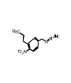 [CH2]OCCc1cc(CN=[N+]=[N-])ccc1[N+](=O)[O-]